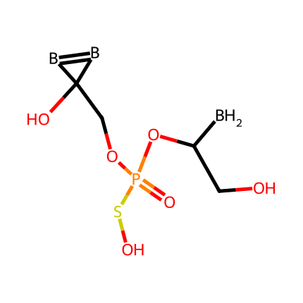 BC(CO)OP(=O)(OCC1(O)B=B1)SO